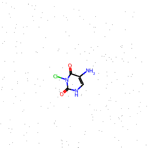 Nc1c[nH]c(=O)n(Cl)c1=O